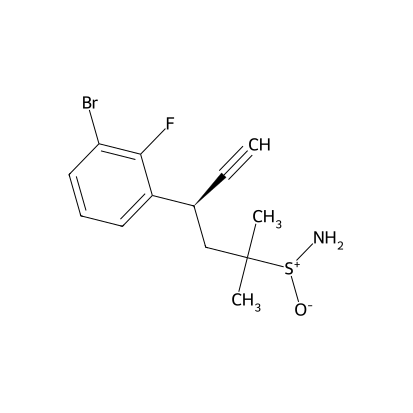 C#C[C@@H](CC(C)(C)[S+](N)[O-])c1cccc(Br)c1F